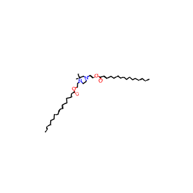 CCCCCCCCCCCCCCCC(=O)OCCN1CCN(CCOC(=O)CCCCCCCCCCCCCCC)C(C)(C)C1